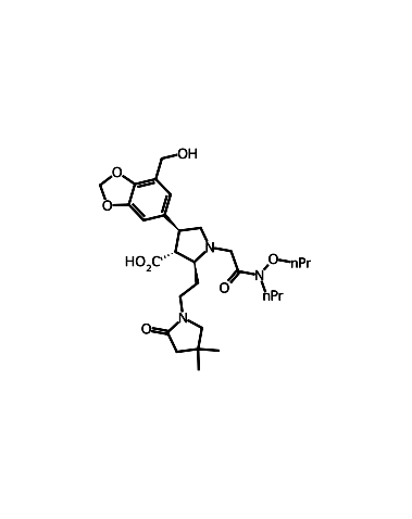 CCCON(CCC)C(=O)CN1C[C@H](c2cc(CO)c3c(c2)OCO3)[C@@H](C(=O)O)[C@@H]1CCN1CC(C)(C)CC1=O